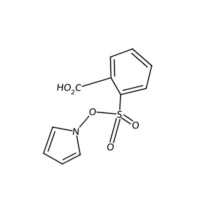 O=C(O)c1ccccc1S(=O)(=O)On1cccc1